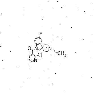 C=CCN1CCC2(CC1)CN(C(=O)c1cccnc1Cl)c1ccc(F)cc12